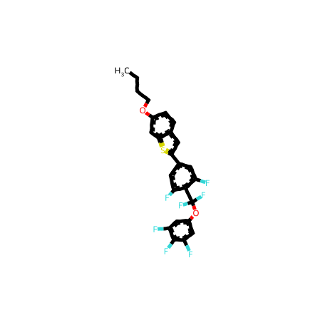 CCCCOc1ccc2cc(-c3cc(F)c(C(F)(F)Oc4cc(F)c(F)c(F)c4)c(F)c3)sc2c1